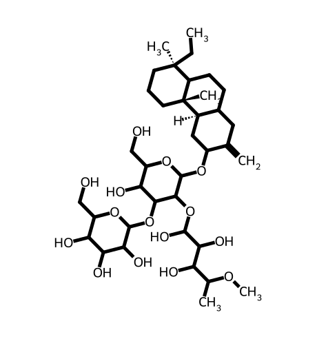 C=C1CC2CCC3[C@](C)(CC)CCC[C@@]3(C)[C@@H]2CC1OC1OC(CO)C(O)C(OC2OC(CO)C(O)C(O)C2O)C1OC(O)C(O)C(O)C(C)OC